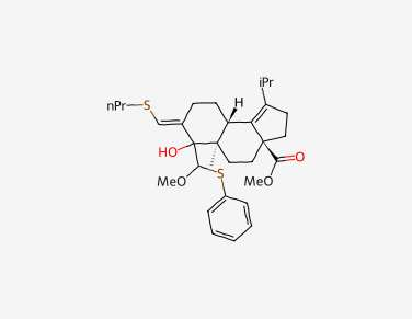 CCCS/C=C1\CC[C@@H]2C3=C(C(C)C)CC[C@]3(C(=O)OC)CC[C@@]2(C)C1(O)C(OC)Sc1ccccc1